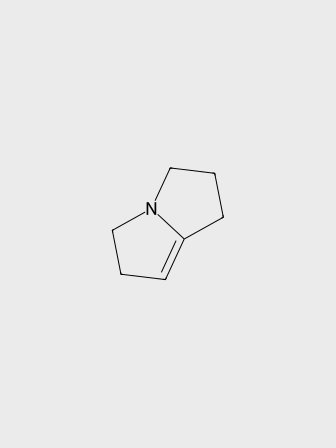 C1=C2CCCN2CC1